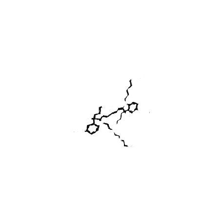 COCCOCCOCC[N+]1=C(/C=C/C=C/C=C2/N(CCCCCC(=O)O)c3ccc(S(=O)(=O)O)cc3C2(C)CCCS(=O)(=O)O)C(C)(CCCS(=O)(=O)O)c2cc(S(=O)(=O)O)ccc21